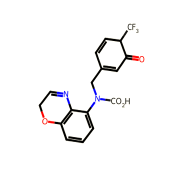 O=C1C=C(CN(C(=O)O)c2cccc3c2N=CCO3)C=CC1C(F)(F)F